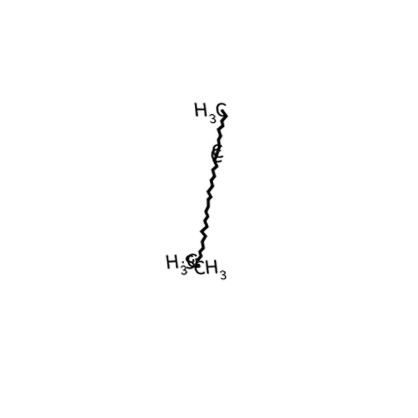 CCCCCCCCCCCCCCCCCCCCCCCCCCCCCC[Si](C)C